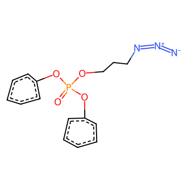 [N-]=[N+]=NCCCOP(=O)(Oc1ccccc1)Oc1ccccc1